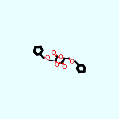 O=C1O[C@@H](COCc2ccccc2)C(=O)O[C@H]1COCc1ccccc1